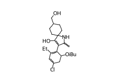 C=C1NC2(CCC(CO)CC2)C(O)=C1C1=C(CC)C=C(Cl)CC1OCC(C)C